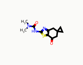 CN(C)C(=O)Nc1nc2c(s1)C(=O)CC1(CC1)C2